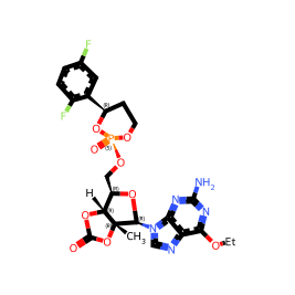 CCOc1nc(N)nc2c1ncn2[C@@H]1O[C@H](CO[P@]2(=O)OCC[C@H](c3cc(F)ccc3F)O2)[C@H]2OC(=O)O[C@]21C